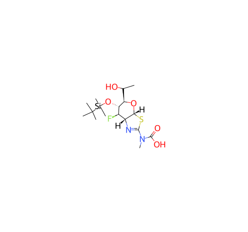 CC(O)[C@H]1O[C@@H]2SC(N(C)C(=O)O)=N[C@@H]2[C@@H](F)[C@@H]1O[Si](C)(C)C(C)(C)C